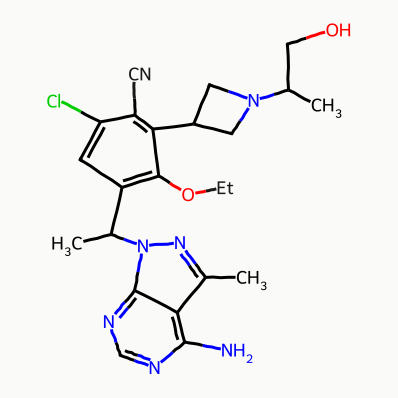 CCOc1c(C(C)n2nc(C)c3c(N)ncnc32)cc(Cl)c(C#N)c1C1CN(C(C)CO)C1